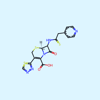 O=C(O)C1=C(c2nncs2)CS[C@H]2C(NC(=S)Cc3ccncc3)C(=O)N12